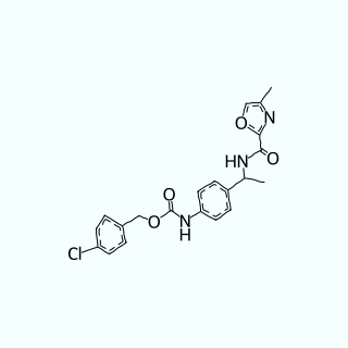 Cc1coc(C(=O)NC(C)c2ccc(NC(=O)OCc3ccc(Cl)cc3)cc2)n1